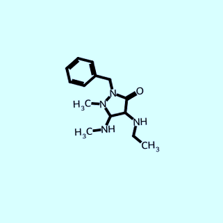 CCNC1C(=O)N(Cc2ccccc2)N(C)C1NC